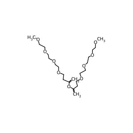 C=C(CCOCCOCCOCCOC)OC(=C)CCOCCOCCOCCOC